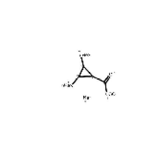 CCCCCCC1C(CCCCCC)C1C(=O)C(=O)[O-].[Na+]